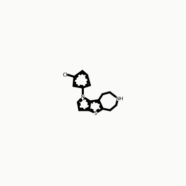 Clc1cccc(-n2ccc3sc4c(c32)CCNCC4)c1